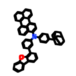 c1ccc(-c2cccc3cccc(-c4ccc(N(c5ccc(C67CC8CC(CC(C8)C6)C7)cc5)c5cccc(-c6cccc7c6oc6ccccc67)c5)cc4)c23)cc1